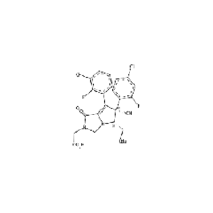 CC(C)(C)C[C@@H]1N2CN(CC(=O)O)C(=O)C2=C(c2cccc(Cl)c2F)[C@@]1(C#N)c1ccc(Cl)cc1F